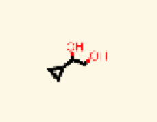 OCC(O)C1CC1